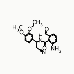 CCOc1cc(C(CC#N)NC(=O)c2c(N)cccc2C=O)ccc1OC